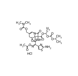 CC(=O)O/N=C(\C(=O)N[C@]1(C(=O)OC(C)OC(=O)OC(C)C)C(=O)N2C=C(COC(=O)N(C)C)CS[C@H]21)c1csc(N)n1.Cl